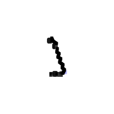 CCCCCCCC/C=C\CCCCCCCCOCC1CO1